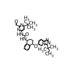 CCC(C)(C)c1nnc2ccc(OC3CCC(NC(=O)Nc4cc(C(C)(C)C)nc(C=O)n4)c4ccccc43)cn12